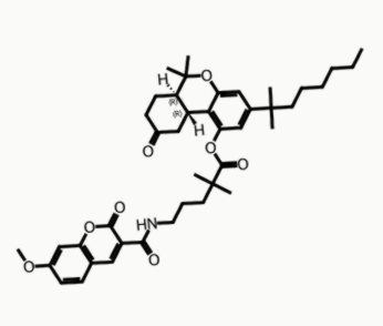 CCCCCCC(C)(C)c1cc(OC(=O)C(C)(C)CCCNC(=O)c2cc3ccc(OC)cc3oc2=O)c2c(c1)OC(C)(C)[C@@H]1CCC(=O)C[C@@H]21